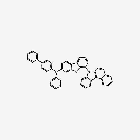 c1ccc(-c2ccc(N(c3ccccc3)c3ccc4c(c3)oc3c(-n5c6ccccc6c6c7ccccc7ccc65)cccc34)cc2)cc1